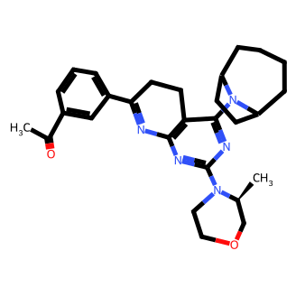 CC(=O)c1cccc(C2=Nc3nc(N4CCOC[C@@H]4C)nc(N4C5CCCCC4CC5)c3CC2)c1